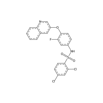 O=S(=O)(Nc1ccc(Oc2cnc3ccccc3c2)c(F)c1)c1ccc(Cl)cc1Cl